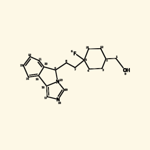 OCC1CCC(F)(CCC2c3ccccc3-c3cncn32)CC1